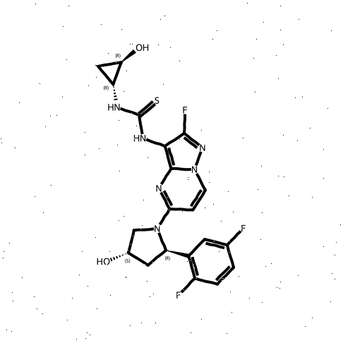 O[C@H]1C[C@H](c2cc(F)ccc2F)N(c2ccn3nc(F)c(NC(=S)N[C@@H]4C[C@H]4O)c3n2)C1